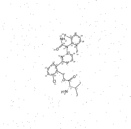 CC(C)[C@H](N)C(=O)OCc1c(Cl)cccc1-c1cccc(N(C(N)=O)c2c(F)cccc2F)n1